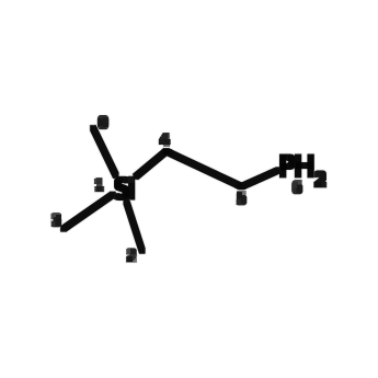 C[Si](C)(C)CCP